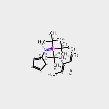 C=CC=CC.CC(C)(C)P(=NC1=CC=CC1)(C(C)(C)C)C(C)(C)C.[Ti]